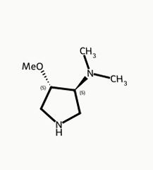 CO[C@H]1CNC[C@@H]1N(C)C